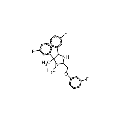 CN1C(COc2cccc(F)c2)NC(c2cccc(F)c2)C1(C)c1cccc(F)c1